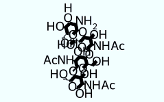 CC(=O)N[C@H]1C(O)O[C@H](CO)[C@@H](O[C@@H]2O[C@H](CO)[C@@H](O[C@@H]3O[C@H](CO)[C@@H](O[C@@H]4O[C@H](CO)[C@@H](O)C(O)[C@@H]4N)C(O)[C@H]3NC(C)=O)C(O)[C@H]2NC(C)=O)C1O